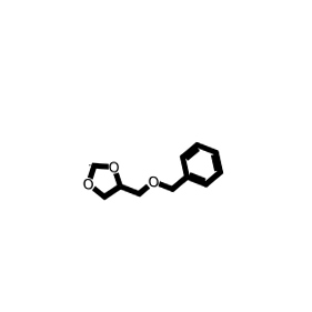 [CH]1OCC(COCc2ccccc2)O1